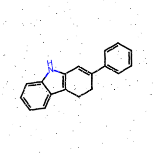 C1=C(c2ccccc2)CCc2c1[nH]c1ccccc21